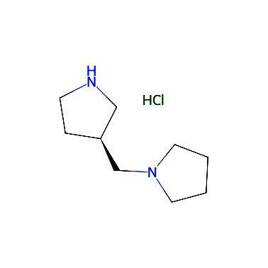 C1CCN(C[C@H]2CCNC2)C1.Cl